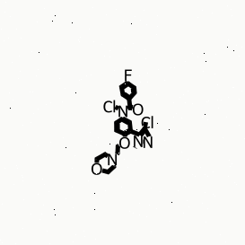 Cn1ncc(Cl)c1-c1cc(N(Cl)C(=O)c2ccc(F)cc2)ccc1OCCN1CCOCC1